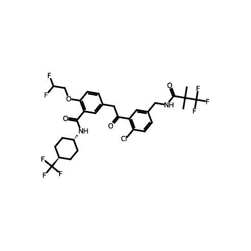 CC(C)(C(=O)NCc1ccc(Cl)c(C(=O)Cc2ccc(OCC(F)F)c(C(=O)N[C@H]3CC[C@H](C(F)(F)F)CC3)c2)c1)C(F)(F)F